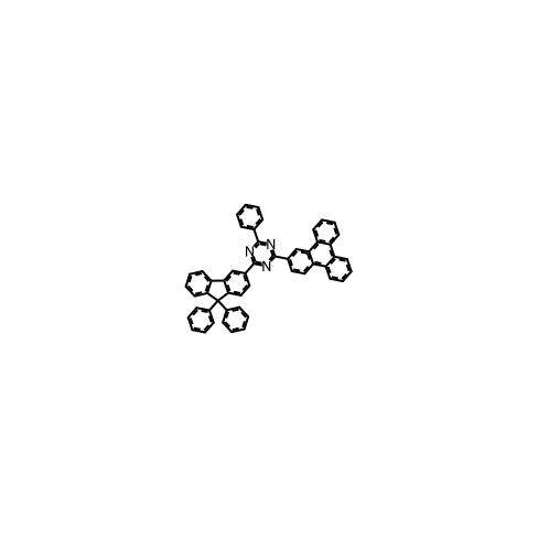 c1ccc(-c2nc(-c3ccc4c(c3)-c3ccccc3C4(c3ccccc3)c3ccccc3)nc(-c3ccc4c5ccccc5c5ccccc5c4c3)n2)cc1